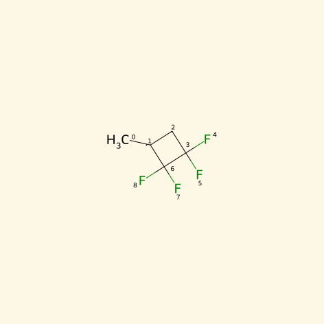 C[C]1CC(F)(F)C1(F)F